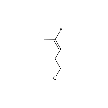 CCC(C)=CCC[O]